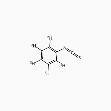 [2H]c1c([2H])c([2H])c(N=C=S)c([2H])c1[2H]